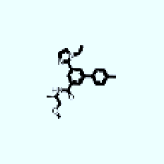 CCn1ccnc1-c1cc(C(=O)N[C@H](C)COC)cc(-c2ccc(C)cc2)c1